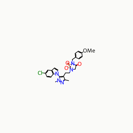 COc1ccc(CN2C(=O)CN(CCc3c(C)nn(C)c3-n3ccc4cc(Cl)ccc43)S2(=O)=O)cc1